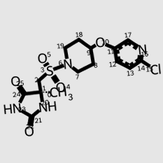 C[C@]1(CS(=O)(=O)N2CCC(Oc3ccc(Cl)nc3)CC2)NC(=O)NC1=O